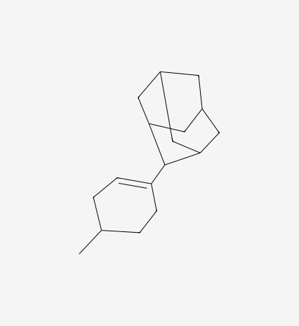 CC1CC=C(C2C3CC4CC(C3)CC2C4)CC1